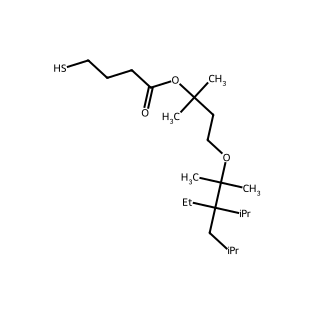 CCC(CC(C)C)(C(C)C)C(C)(C)OCCC(C)(C)OC(=O)CCCS